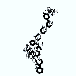 C=CC(=O)Nc1cc(Nc2nc(N3CCCC(N4CCc5c(sc6c5CCCC6)C4=O)C3CO)cnc2OC)ccc1N1CCN(C2CCN(c3ccnc(C4CCC(C)(OP(=O)(O)O)CC4)c3)[C@H](C)C2)C[C@@H]1C